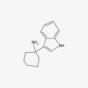 NC1(c2c[nH]c3ccccc23)CCCCC1